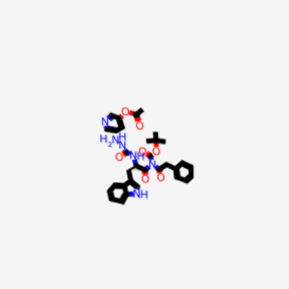 CC(=O)Oc1cccnc1.CC(C)(C)OC(=O)N(C(=O)Cc1ccccc1)C(=O)[C@@H](Cc1c[nH]c2ccccc12)NC(=O)NN